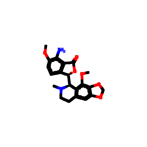 COc1ccc2c(c1N)C(=O)O[C@@H]2[C@H]1c2c(cc3c(c2OC)OCO3)CCN1C